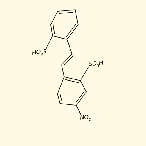 O=[N+]([O-])c1ccc(C=Cc2cc[c]cc2S(=O)(=O)O)c(S(=O)(=O)O)c1